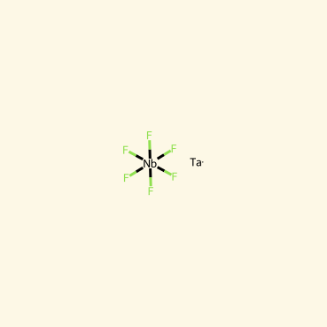 [F][Nb]([F])([F])([F])([F])[F].[Ta]